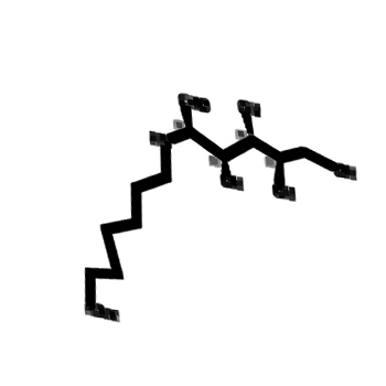 CCCCCCCCCCCCCCCCN[C@@H](C=O)[C@@H](O)[C@H](O)[C@H](O)CO